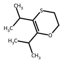 CC(C)C1=C(C(C)C)SCCO1